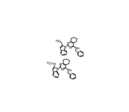 COc1cc2ccccc2n1-c1nc2c(c(NCc3ccccc3)n1)CCCC2.OCc1cc2ccccc2n1-c1nc2c(c(NCc3ccccc3)n1)CCCC2